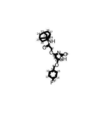 O=C(COc1cc(OCc2ccc(F)cc2)[nH]c(=O)n1)NC12CC3CC(CC(C3)C1)C2